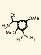 CCC(N)c1cc(OC)cc(N(C)CC)c1OC